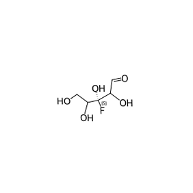 O=CC(O)[C@@](O)(F)C(O)CO